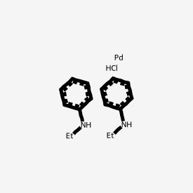 CCNc1ccccc1.CCNc1ccccc1.Cl.[Pd]